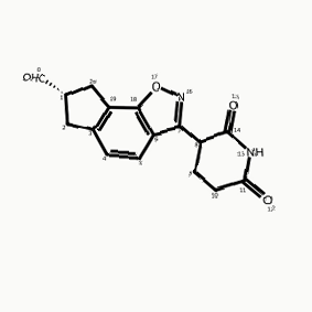 O=C[C@H]1Cc2ccc3c(C4CCC(=O)NC4=O)noc3c2C1